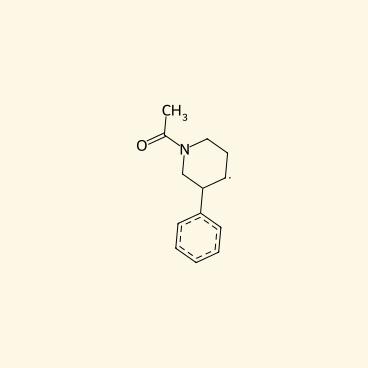 CC(=O)N1CC[CH]C(c2ccccc2)C1